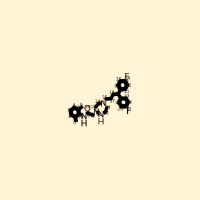 Cc1cccc(C)c1NC(=O)CN1CCN(CCCC(c2ccc(F)cc2)c2ccc(F)cc2)CCN1